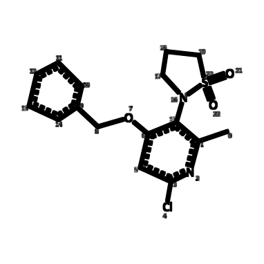 Cc1nc(Cl)cc(OCc2ccccc2)c1N1CCCS1(=O)=O